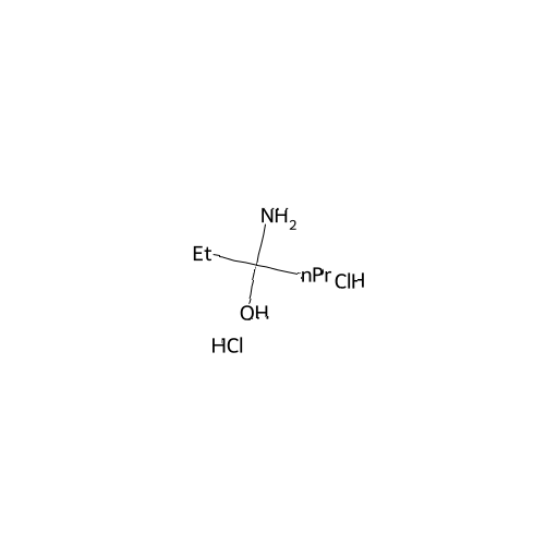 CCCC(N)(O)CC.Cl.Cl